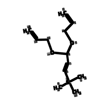 C=CCOC(/C=C/[Si](C)(C)C)OCC=C